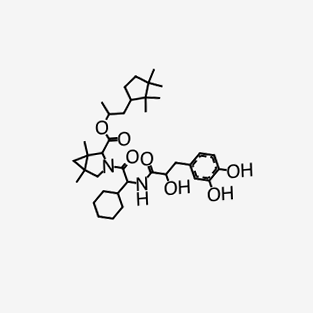 CC(CC1CCC(C)(C)C1(C)C)OC(=O)C1N(C(=O)C(NC(=O)C(O)Cc2ccc(O)c(O)c2)C2CCCCC2)CC2(C)CC12C